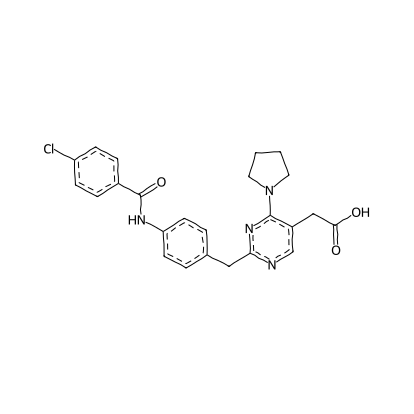 O=C(O)Cc1cnc(Cc2ccc(NC(=O)c3ccc(Cl)cc3)cc2)nc1N1CCCC1